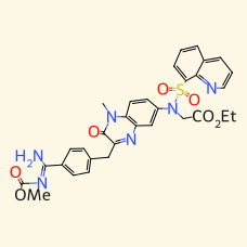 CCOC(=O)CN(c1ccc2c(c1)nc(Cc1ccc(C(N)=NC(=O)OC)cc1)c(=O)n2C)S(=O)(=O)c1cccc2cccnc12